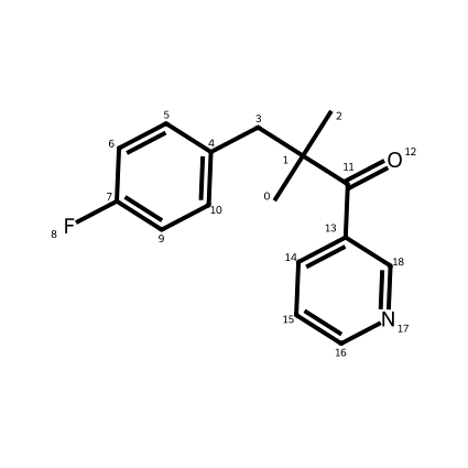 CC(C)(Cc1ccc(F)cc1)C(=O)c1cccnc1